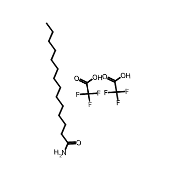 CCCCCCCCCCCCCC(N)=O.O=C(O)C(F)(F)F.O=C(O)C(F)(F)F